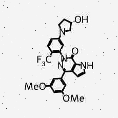 COc1cc(OC)cc(-c2nn(-c3cc(N4CC[C@H](O)C4)ccc3C(F)(F)F)c(=O)c3[nH]ccc23)c1